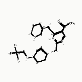 CC(=O)c1cnc(C[C@H]2CC[C@H](OCC(F)(F)F)CC2)nc1C[C@@H]1CCCOC1